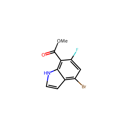 COC(=O)c1c(F)cc(Br)c2cc[nH]c12